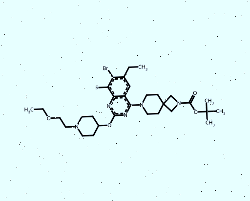 CCOCCN1CCC(Oc2nc(N3CCC4(CC3)CN(C(=O)OC(C)(C)C)C4)c3cc(CC)c(Br)c(F)c3n2)CC1